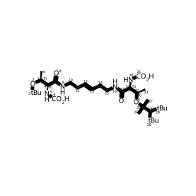 C[C@H](OC(C)(C)C)[C@@H](NC(=O)O)C(=O)NCCC=CCCNC(=O)[C@@H](NC(=O)O)[C@@H](C)OC(C)(C)C(C(C)(C)C)C(C)(C)C